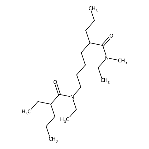 CCCC(CCCCN(CC)C(=O)C(CC)CCC)C(=O)N(C)CC